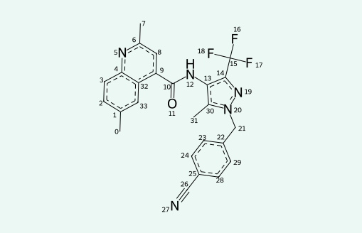 Cc1ccc2nc(C)cc(C(=O)Nc3c(C(F)(F)F)nn(Cc4ccc(C#N)cc4)c3C)c2c1